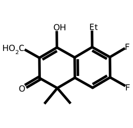 CCc1c(F)c(F)cc2c1C(O)=C(C(=O)O)C(=O)C2(C)C